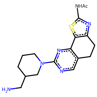 CC(=O)Nc1nc2c(s1)-c1nc(N3CCCC(CN)C3)ncc1CC2